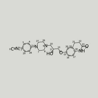 [C-]#[N+]c1ccc(N2CCN(C[C@H](O)COc3ccc4c(c3)CCC(=O)N4)CC2)cc1